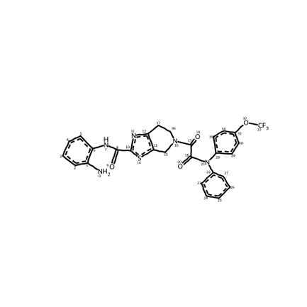 Nc1ccccc1NC(=O)c1nc2c(s1)CN(C(=O)C(=O)N(c1ccccc1)c1ccc(OC(F)(F)F)cc1)CC2